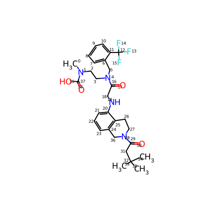 CN(CCN(Cc1ccccc1C(F)(F)F)C(=O)CNc1cccc2c1CCN(C(=O)CC(C)(C)C)C2)C(=O)O